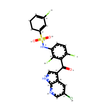 O=C(c1c(F)ccc(NS(=O)(=O)C2=CC(F)=CCC2)c1F)c1c[nH]c2ncc(Cl)cc12